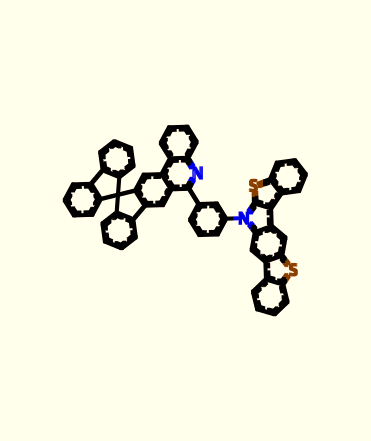 c1cc(-c2nc3ccccc3c3cc4c(cc23)-c2ccccc2C42c3ccccc3-c3ccccc32)cc(-n2c3cc4c(cc3c3c5ccccc5sc32)sc2ccccc24)c1